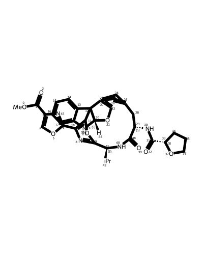 COC(=O)c1coc(-c2nc3oc2C24c5ccccc5N[C@H]2Oc2ccc(cc24)C[C@H](NC(=O)[C@@H]2CCCO2)C(=O)N[C@H]3C(C)C)n1